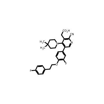 CC1(C)CCN(c2c(-c3ccc(OCCc4ccc(F)cc4)c(F)c3)cnc(C#N)c2CC(=O)O)CC1